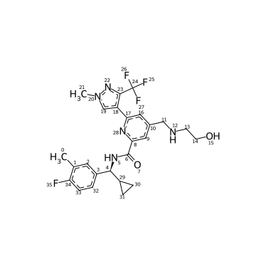 Cc1cc([C@@H](NC(=O)c2cc(CNCCO)cc(-c3cn(C)nc3C(F)(F)F)n2)C2CC2)ccc1F